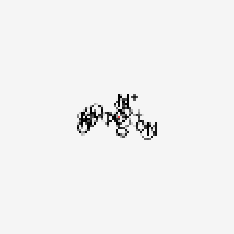 C=C1CCC(=O)N1OC(=O)C1CCN(C(=O)c2ccccc2C2=c3cc4c(cc3C(C)(C)c3cc5c(cc32)CCCN5C)=[N+](C)CCC4)CC1